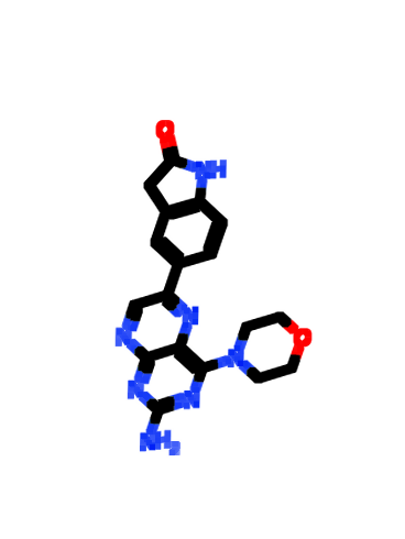 Nc1nc(N2CCOCC2)c2nc(-c3ccc4c(c3)CC(=O)N4)cnc2n1